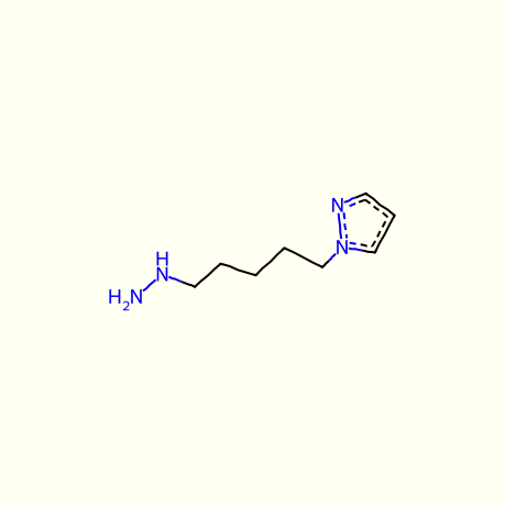 NNCCCCCn1cccn1